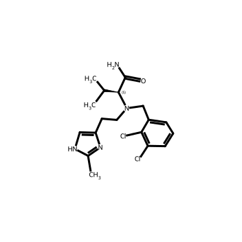 Cc1nc(CCN(Cc2cccc(Cl)c2Cl)[C@H](C(N)=O)C(C)C)c[nH]1